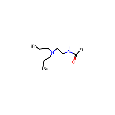 CCC(=O)NCCN(CCC(C)C)CCC(C)(C)C